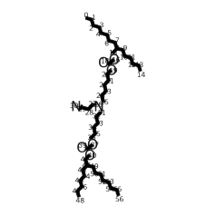 CCCCCCCCC(CCCCCC)COC(=O)OCCCCCCN(CCC#N)CCCCCCOC(=O)OCC(CCCCCC)CCCCCCCC